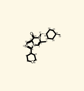 Cc1cn2c(C3CCOCC3)ncc2c(=O)n1C[C@H]1CC[C@H](C)CC1